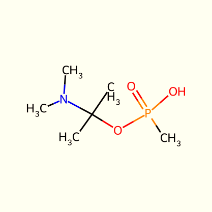 CN(C)C(C)(C)OP(C)(=O)O